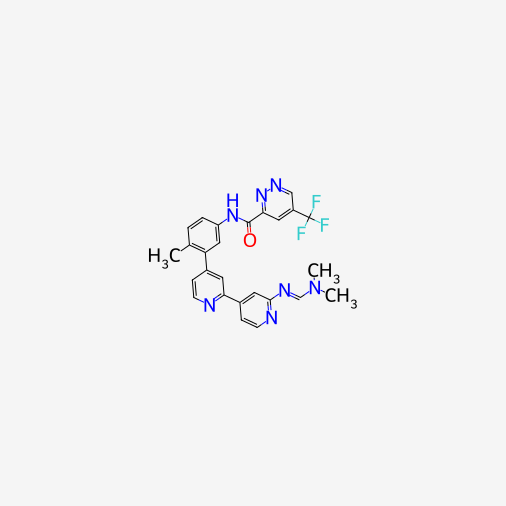 Cc1ccc(NC(=O)c2cc(C(F)(F)F)cnn2)cc1-c1ccnc(-c2ccnc(/N=C/N(C)C)c2)c1